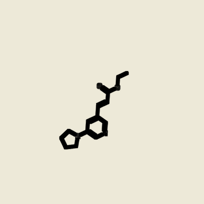 CCOC(=O)/C=C/c1cncc(N2CCCC2)c1